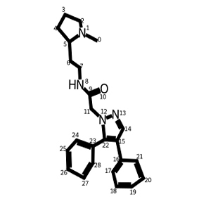 CN1CCCC1CCNC(=O)Cn1ncc(-c2ccccc2)c1-c1ccccc1